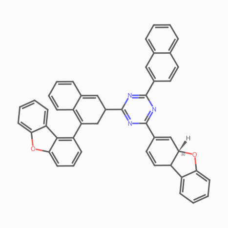 C1=CC2c3ccccc3O[C@H]2C=C1c1nc(-c2ccc3ccccc3c2)nc(C2C=c3ccccc3=C(c3cccc4oc5ccccc5c34)C2)n1